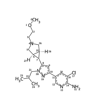 COCCN1C[C@@H]2C(c3cc(-c4cnc(N)c(Cl)c4)nn3CC(C)C)[C@@H]2C1